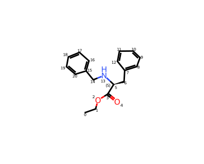 CCOC(=O)[C@H](Cc1ccccc1)NCc1ccccc1